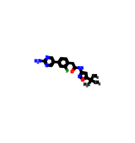 CC(C)(C)c1cc(NC(=O)Cc2ccc(-c3cnc(N)nc3)cc2F)no1